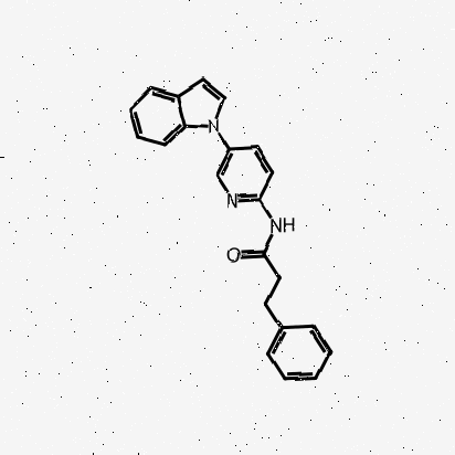 O=C(CCc1ccccc1)Nc1ccc(-n2ccc3ccccc32)cn1